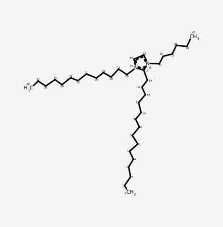 CCCCCCCCCCCCCCCc1n(CCCCCC)cc[n+]1CCCCCCCCCCCCC